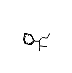 CCOC([C](C)C)c1ccccc1